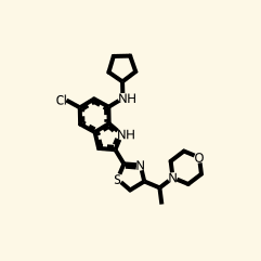 CC(C1CSC(c2cc3cc(Cl)cc(NC4CCCC4)c3[nH]2)=N1)N1CCOCC1